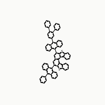 c1ccc(-c2ccc(-c3c4ccccc4c(-c4cc5cc(-c6c7ccccc7c(-c7ccccc7)c7ccccc67)c6sc7ccccc7c6c5c5c4sc4ccccc45)c4ccccc34)cc2-c2ccccc2)cc1